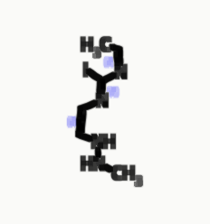 C\C=N/C(I)=N/C=C\NNC